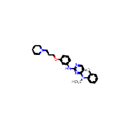 COc1ccccc1N(C(=O)O)c1ccnc(Nc2cccc(OCCCN3CCCCC3)c2)n1